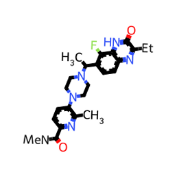 CCc1nc2ccc(C(C)N3CCN(c4ccc(C(=O)NC)nc4C)CC3)c(F)c2[nH]c1=O